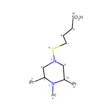 CC(=O)N1C(C(C)C)CN(SCCCS(=O)(=O)O)CC1C(C)C